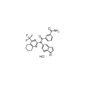 Cl.NC(=O)c1cccc(C(=O)N(c2cnc3[nH]ccc3c2)c2nc3c(c(C(F)(F)F)n2)CCCC3)c1